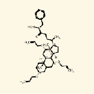 C=CCO[C@@H]1CC[C@@]2(C)C(C1)C[C@@H](OCC=C)C1[C@@H]3CC[C@H](C(C)CCC(=O)N(CCCCCCCC)Cc4ccccc4)[C@@]3(C)[C@@H](OCC=C)C[C@@H]12